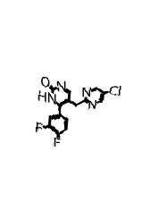 O=c1ncc(Cc2ncc(Cl)cn2)c(-c2ccc(F)c(F)c2)[nH]1